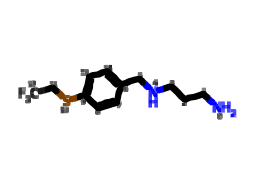 NCCCNCc1ccc(SCC(F)(F)F)cc1